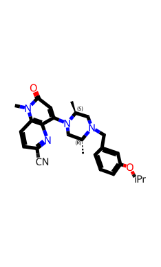 CC(C)Oc1cccc(CN2C[C@H](C)N(c3cc(=O)n(C)c4ccc(C#N)nc34)C[C@H]2C)c1